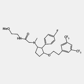 COCCNC(=O)CN(C)C1CCC(OCCc2cc(C(F)(F)F)cc(C(F)(F)F)c2)C1c1ccc(F)cc1